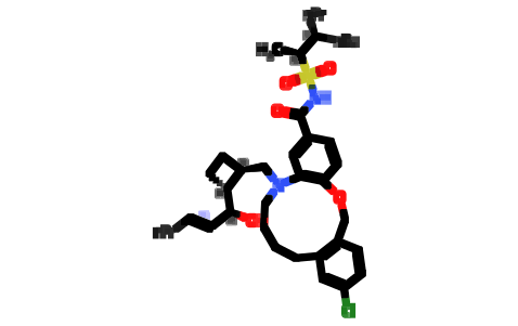 CCC/C=C/[C@H](O)[C@@H]1CC[C@H]1CN1CCCCc2cc(Cl)ccc2COc2ccc(C(=O)NS(=O)(=O)[C@@H](C)[C@@H](CCC)CCCC)cc21